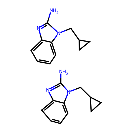 Nc1nc2ccccc2n1CC1CC1.Nc1nc2ccccc2n1CC1CC1